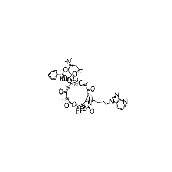 CC[C@H]1OC(=O)[C@H](C)C(=O)[C@H](C)[C@@H](OC2O[C@H](C)C[C@H](N(C)C)[C@H]2OC(=O)c2ccccc2)[C@@](C)(OC)C[C@@H](C)C(=O)[C@H](C)[C@H]2N(CCCCn3cnc4ncccc43)C(=O)O[C@]12CC